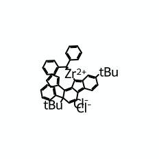 CC(C)(C)c1ccc2c(c1)=[C]([Zr+2]=[C](c1ccccc1)c1ccccc1)C1=C(C3=CC=CC3)C(c3ccccc3)(C(C)(C)C)C=CC=21.[Cl-].[Cl-]